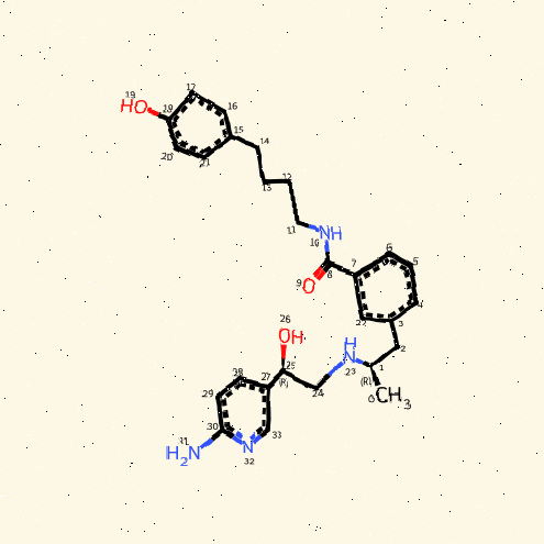 C[C@H](Cc1cccc(C(=O)NCCCCc2ccc(O)cc2)c1)NC[C@H](O)c1ccc(N)nc1